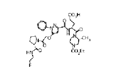 CCOC(=O)N1CCN(C(=O)[C@H](CCC(=O)O)NC(=O)c2cc(OCC(=O)N3CCC[C@H]3C(=O)NCCF)n(-c3ccccc3)n2)[C@H](C)C1